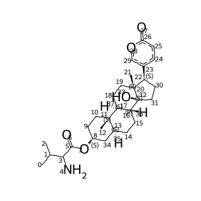 CC(C)C(N)C(=O)O[C@H]1CC[C@@]2(C)[C@@H](CC[C@@H]3[C@@H]2CC[C@]2(C)[C@@H](c4ccc(=O)oc4)CC[C@]32O)C1